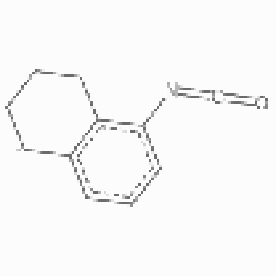 O=C=Nc1cccc2c1CCC[CH]2